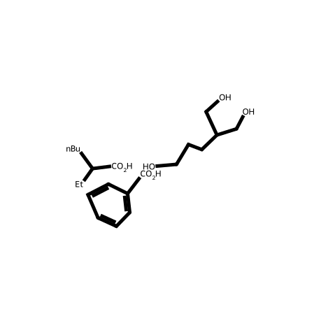 CCCCC(CC)C(=O)O.O=C(O)c1ccccc1.OCCCC(CO)CO